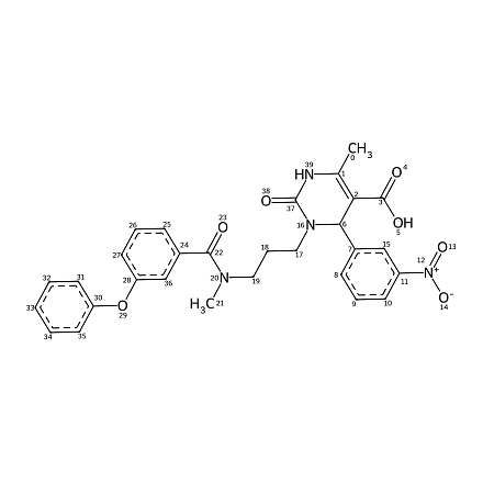 CC1=C(C(=O)O)C(c2cccc([N+](=O)[O-])c2)N(CCCN(C)C(=O)c2cccc(Oc3ccccc3)c2)C(=O)N1